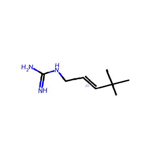 CC(C)(C)/C=C/CNC(=N)N